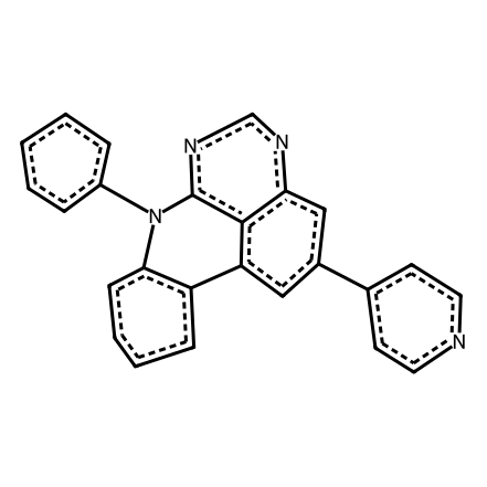 c1ccc(N2c3ccccc3-c3cc(-c4ccncc4)cc4ncnc2c34)cc1